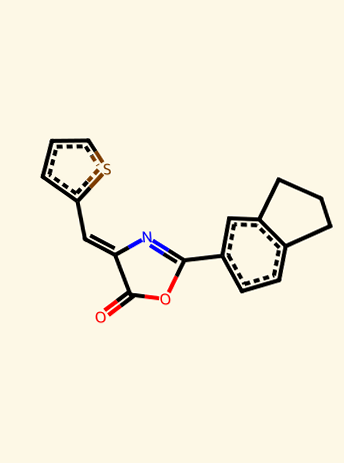 O=C1OC(c2ccc3c(c2)CCC3)=NC1=Cc1cccs1